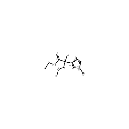 CCOC(=O)C(C)(COC)n1cc(Br)cn1